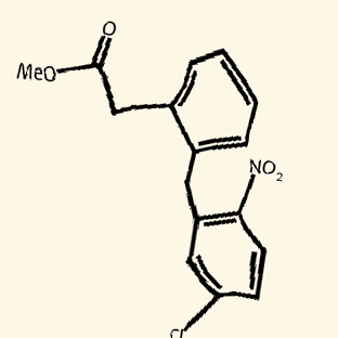 COC(=O)Cc1ccccc1Cc1cc(Cl)ccc1[N+](=O)[O-]